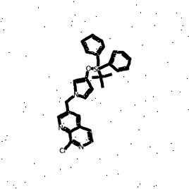 CC(C)(C)[Si](Oc1ccn(Cc2cnc3c(Cl)nccc3c2)c1)(c1ccccc1)c1ccccc1